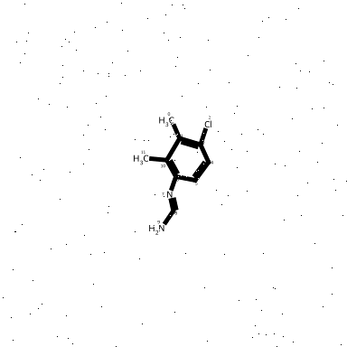 Cc1c(Cl)ccc(N=CN)c1C